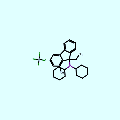 CCC1(P(C2CCCCC2)C2CCCCC2)c2ccccc2-c2cccc(C)c21.F[B-](F)(F)F